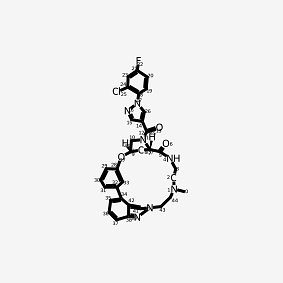 CN1CCNC(=O)[C@@H]2C[C@@H](CN2C(=O)c2cnn(-c3ccc(F)cc3Cl)c2)Oc2cccc(c2)-c2cccc3nn(cc23)CC1